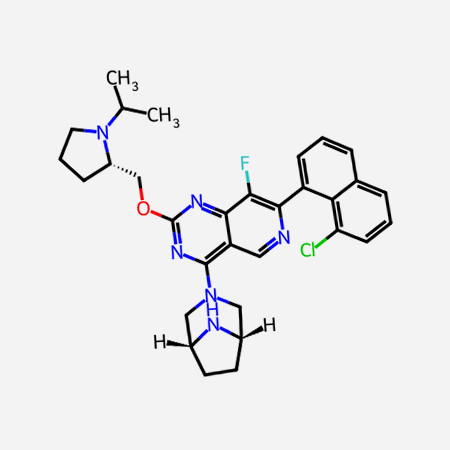 CC(C)N1CCC[C@H]1COc1nc(N2C[C@H]3CC[C@@H](C2)N3)c2cnc(-c3cccc4cccc(Cl)c34)c(F)c2n1